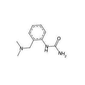 CN(C)Cc1ccccc1NC(N)=O